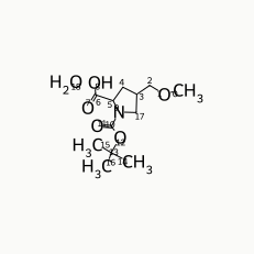 COCC1CC(C(=O)O)N(C(=O)OC(C)(C)C)C1.O